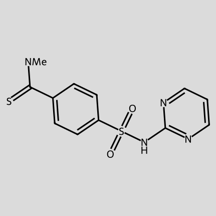 CNC(=S)c1ccc(S(=O)(=O)Nc2ncccn2)cc1